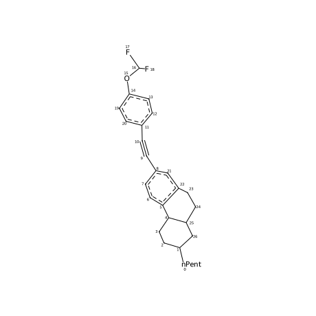 CCCCCC1CCC2c3ccc(C#Cc4ccc(OC(F)F)cc4)cc3CCC2C1